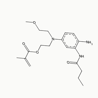 C=C(C)C(=O)OCCN(CCOC)c1ccc(N)c(NC(=O)CCC)c1